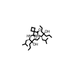 CCCC(O)(CCC)[C@@H](CC(C)C)NC(=O)C1(C(=O)N[C@H](CC(C)C)C(O)(CCC)CCC)CCC1